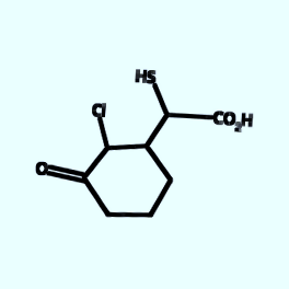 O=C(O)C(S)C1CCCC(=O)C1Cl